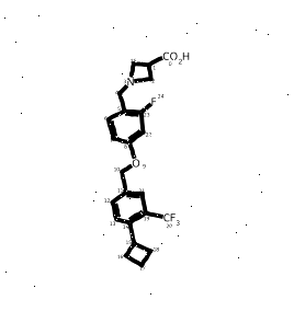 O=C(O)C1CN(Cc2ccc(OCc3ccc(C4CCC4)c(C(F)(F)F)c3)cc2F)C1